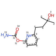 CC(C)(O)CCc1cccc(OC(N)=O)n1